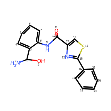 NC(O)c1ccccc1NC(=O)c1csc(-c2ccccc2)n1